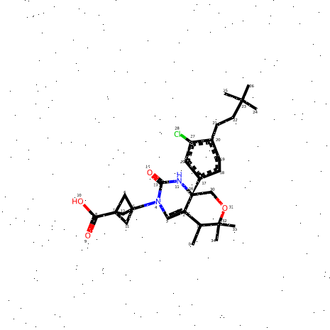 CC1C2=CN(C34CC(C(=O)O)(C3)C4)C(=O)N[C@]2(c2ccc(CCC(C)(C)C)c(Cl)c2)COC1(C)C